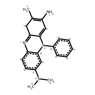 CC1=C(N)C=C2C(=Nc3ccc(N(C)C)cc3N2c2ccccc2)C1